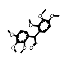 COc1ccc(C([C]=O)c2ccc(OC)c(OC)c2OC)c(OC)c1OC